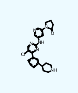 O=C1CCCN1c1cncc(Nc2ncc(Cl)c(-c3cccc(C4CCNCC4)c3)n2)c1